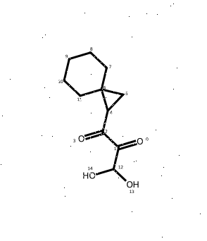 O=C(C(=O)C1CC12CCCCC2)C(O)O